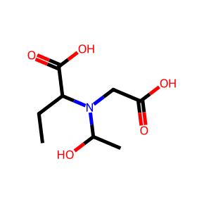 CCC(C(=O)O)N(CC(=O)O)C(C)O